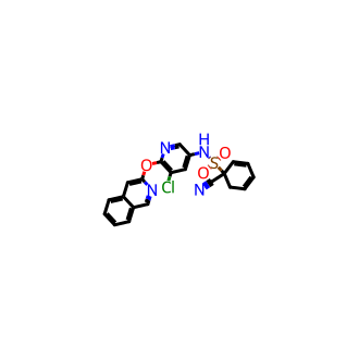 N#CC1(S(=O)(=O)Nc2cnc(Oc3cc4ccccc4cn3)c(Cl)c2)C=CC=CC1